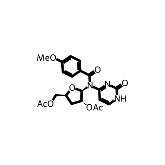 COc1ccc(C(=O)N(c2cc[nH]c(=O)n2)[C@@H]2O[C@H](COC(C)=O)C[C@H]2OC(C)=O)cc1